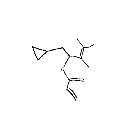 C=CC(=O)OC(CC1CC1)C(C)=C(C)C